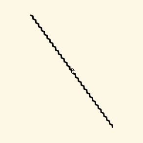 CCCCCCCCCCCCCCCCCCCCCCCCCCCC=C[P]C=CCCCCCCCCCCCCCCCCCCCCCCCCCCC